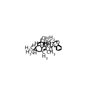 CC1=C[C@]23C(O)[C@@H](C=C(CO)[C@@H](O)[C@]2(O)[C@H]1OC(=O)N1c2ccccc2OCC1C)[C@H]1[C@@H](C[C@H]3C)C1(C)C